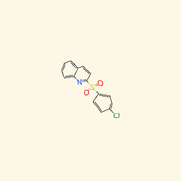 O=S(=O)(c1ccc(Cl)cc1)c1ccc2ccccc2n1